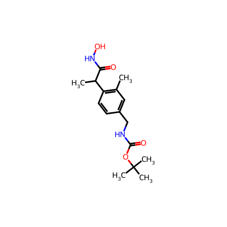 Cc1cc(CNC(=O)OC(C)(C)C)ccc1C(C)C(=O)NO